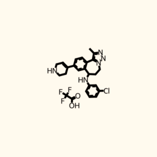 Cc1nnn2c1-c1ccc(C3=CCNCC3)cc1C(Nc1cccc(Cl)c1)CC2.O=C(O)C(F)(F)F